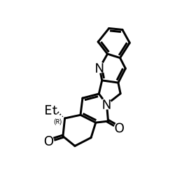 CC[C@H]1C(=O)CCc2c1cc1n(c2=O)Cc2cc3ccccc3nc2-1